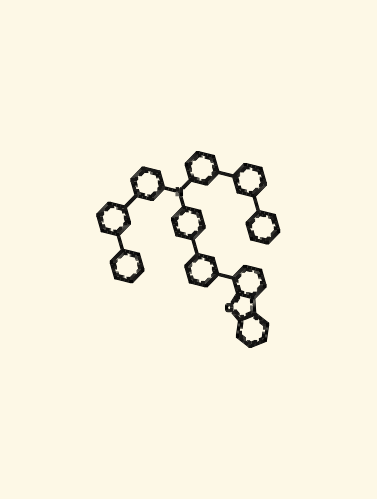 c1ccc(-c2cccc(-c3cccc(N(c4ccc(-c5cccc(-c6cccc7c6oc6ccccc67)c5)cc4)c4cccc(-c5cccc(-c6ccccc6)c5)c4)c3)c2)cc1